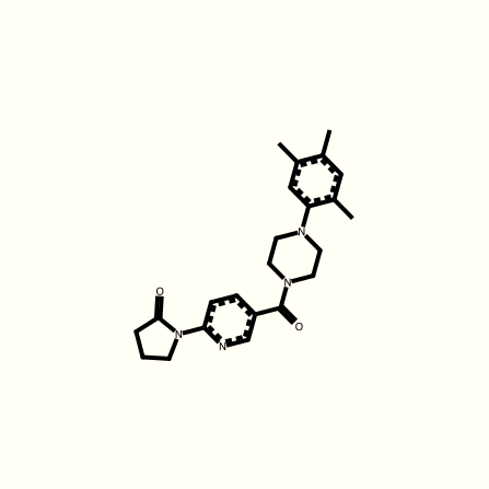 Cc1cc(C)c(N2CCN(C(=O)c3ccc(N4CCCC4=O)nc3)CC2)cc1C